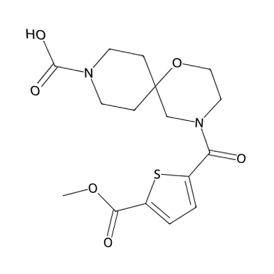 COC(=O)c1ccc(C(=O)N2CCOC3(CCN(C(=O)O)CC3)C2)s1